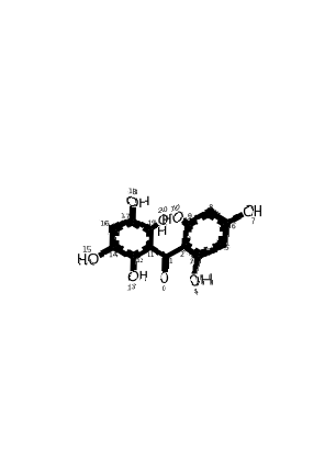 O=C(c1c(O)cc(O)cc1O)c1c(O)c(O)cc(O)c1O